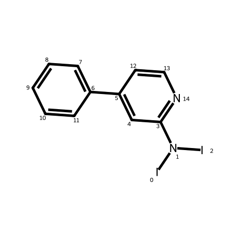 IN(I)c1cc(-c2ccccc2)ccn1